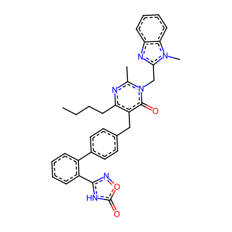 CCCCc1nc(C)n(Cc2nc3ccccc3n2C)c(=O)c1Cc1ccc(-c2ccccc2-c2noc(=O)[nH]2)cc1